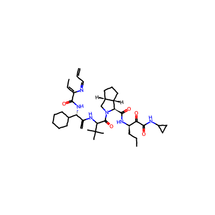 C=C/C=N\C(=C/C)C(=O)N[C@H](C(=C)NC(C(=O)N1C[C@@H]2CCC[C@@H]2[C@H]1C(=O)N[C@H](CCC)C(=O)C(=O)NC1CC1)C(C)(C)C)C1CCCCC1